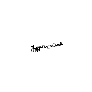 CC(C)CCCOCCOCCOCCn1cc(C(=O)C(C)C)nn1